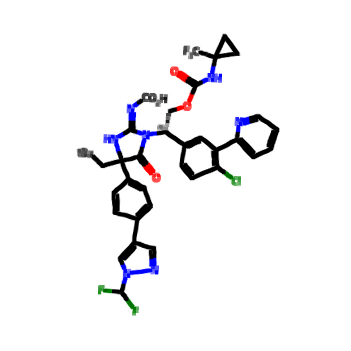 CC(C)(C)CC1(c2ccc(-c3cnn(C(F)F)c3)cc2)NC(=NC(=O)O)N([C@H](COC(=O)NC2(C(F)(F)F)CC2)c2ccc(Cl)c(-c3ccccn3)c2)C1=O